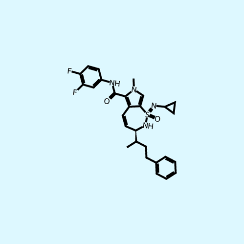 CC(CCc1ccccc1)[C@H]1C=Cc2c(cn(C)c2C(=O)Nc2ccc(F)c(F)c2)S(=O)(=NC2CC2)N1